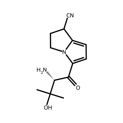 CC(C)(O)[C@H](N)C(=O)c1ccc2n1CCC2C#N